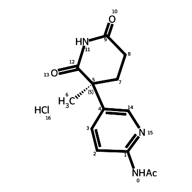 CC(=O)Nc1ccc([C@]2(C)CCC(=O)NC2=O)cn1.Cl